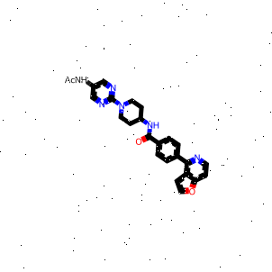 CC(=O)Nc1cnc(N2CCC(NC(=O)c3ccc(-c4nccc5occc45)cc3)CC2)nc1